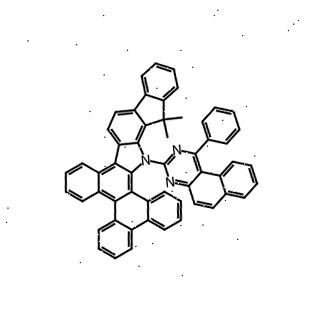 CC1(C)c2ccccc2-c2ccc3c4c5ccccc5c5c6ccccc6c6ccccc6c5c4n(-c4nc(-c5ccccc5)c5c(ccc6ccccc65)n4)c3c21